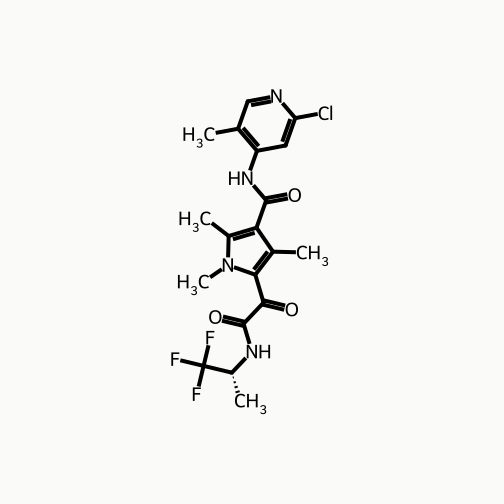 Cc1cnc(Cl)cc1NC(=O)c1c(C)c(C(=O)C(=O)N[C@H](C)C(F)(F)F)n(C)c1C